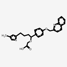 Cc1csc(CCCC(OCC(=O)O)c2ccc(OCc3ccc4ccccc4n3)cc2)c1